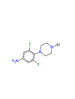 CCN1CCN(c2c(F)cc(N)cc2F)CC1